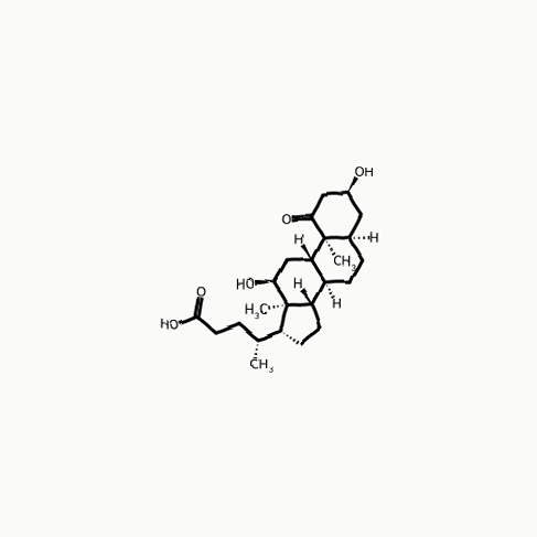 C[C@H](CCC(=O)O)[C@H]1CC[C@H]2[C@@H]3CC[C@@H]4C[C@H](O)CC(=O)[C@]4(C)[C@H]3C[C@H](O)[C@]12C